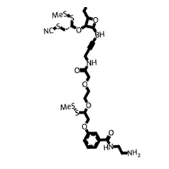 CSSC(COc1cccc(C(=O)NCCN)c1)OCCOCC(=O)NCC#CBC1OC(CO)C1O[C@H](CSC#N)SSC